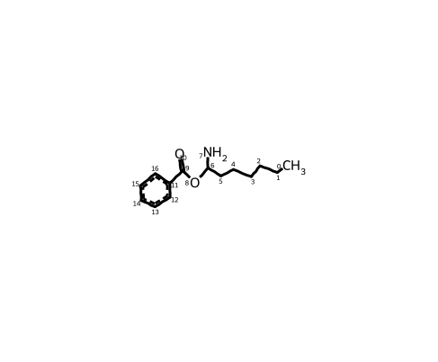 CCCCCCC(N)OC(=O)c1ccccc1